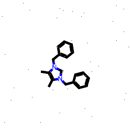 CC1=C(C)N(Cc2ccccc2)[CH]N1Cc1ccccc1